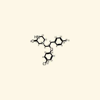 O=C1CN(CC(Cc2ccc(F)cc2)Oc2ccc(Cl)cc2)CCN1